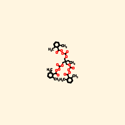 CCC(COC(=O)OOC(=O)c1c(C)cccc1C)(COC(=O)OOC(=O)c1c(C)cccc1C)COC(=O)OOC(=O)c1c(C)cccc1C